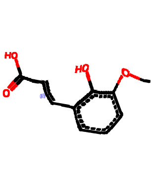 COc1cccc(/C=C/C(=O)O)c1O